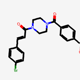 O=C(/C=C/c1ccc(Br)cc1)N1CCN(C(=O)c2ccc(BO)cc2)CC1